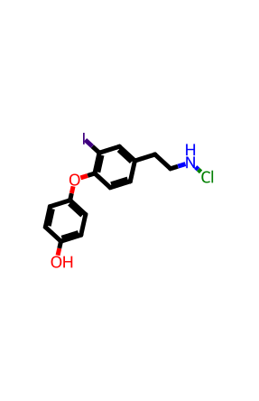 Oc1ccc(Oc2ccc(CCNCl)cc2I)cc1